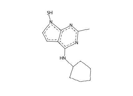 Cc1nc(NC2CCCCC2)c2ccn(S)c2n1